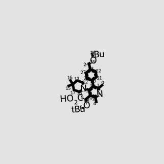 Cc1nc(C)c([C@H](OC(C)(C)C)C(=O)O)c(N2CCC(C)(C)CC2)c1-c1ccc(COC(C)(C)C)cc1